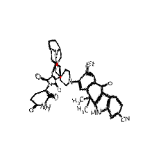 CCc1cc2c(cc1N1CCC(CN3CC4CCC(C3)N4c3ccc4c(c3)C(=O)N(C3CCC(=O)NC3=O)C4=O)CC1)C(C)(C)c1[nH]c3cc(C#N)ccc3c1C2=O